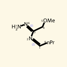 CCC/C=N\C(COC)=N/N